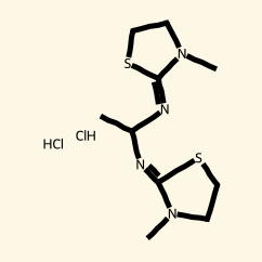 CC(/N=C1\SCCN1C)/N=C1\SCCN1C.Cl.Cl